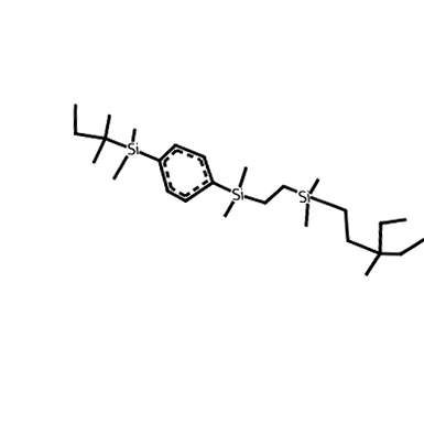 CCC(C)(CC)CC[Si](C)(C)CC[Si](C)(C)c1ccc([Si](C)(C)C(C)(C)CC)cc1